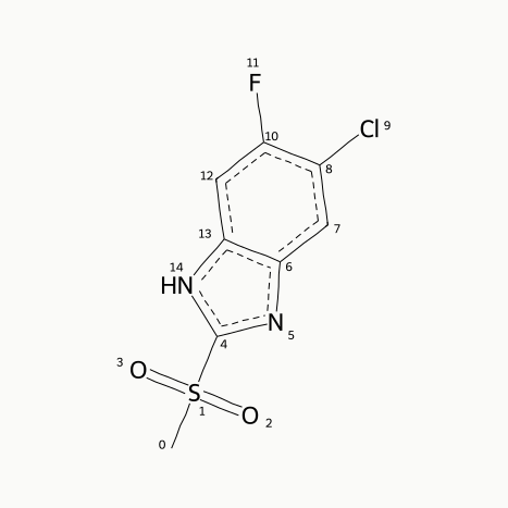 CS(=O)(=O)c1nc2cc(Cl)c(F)cc2[nH]1